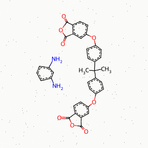 CC(C)(c1ccc(Oc2ccc3c(c2)C(=O)OC3=O)cc1)c1ccc(Oc2ccc3c(c2)C(=O)OC3=O)cc1.Nc1cccc(N)c1